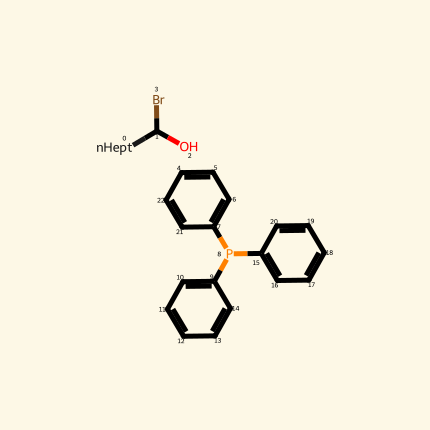 CCCCCCCC(O)Br.c1ccc(P(c2ccccc2)c2ccccc2)cc1